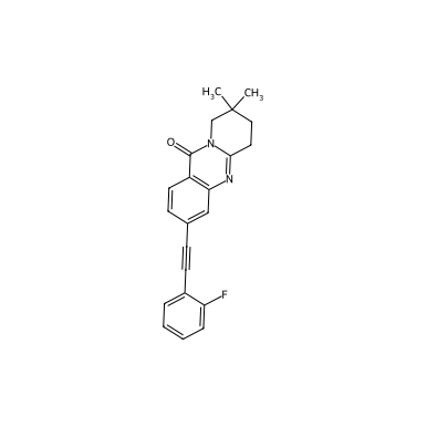 CC1(C)CCc2nc3cc(C#Cc4ccccc4F)ccc3c(=O)n2C1